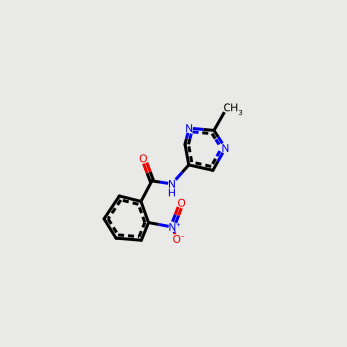 Cc1ncc(NC(=O)c2ccccc2[N+](=O)[O-])cn1